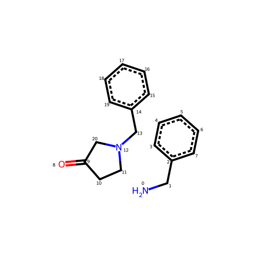 NCc1ccccc1.O=C1CCN(Cc2ccccc2)C1